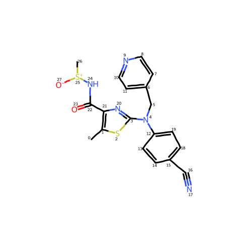 Cc1sc(N(Cc2ccncc2)c2ccc(C#N)cc2)nc1C(=O)N[S+](C)[O-]